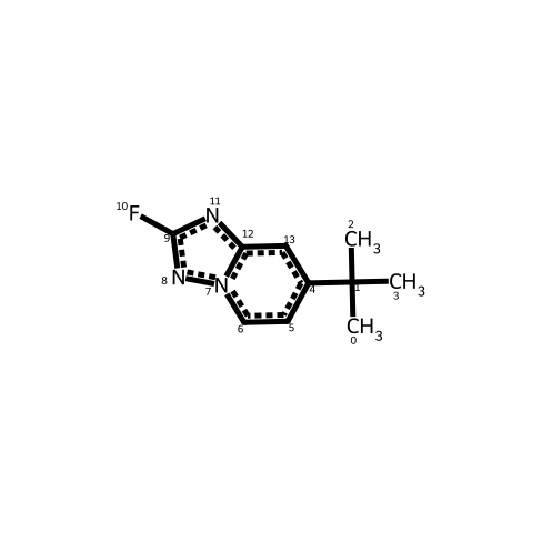 CC(C)(C)c1ccn2nc(F)nc2c1